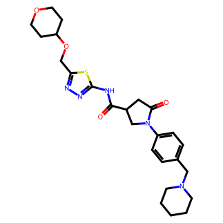 O=C(Nc1nnc(COC2CCOCC2)s1)C1CC(=O)N(c2ccc(CN3CCCCC3)cc2)C1